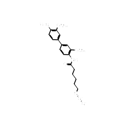 COc1cc(-c2ccc(NC(=O)CCCCCN=[N+]=[N-])c(OC)c2)ccc1N